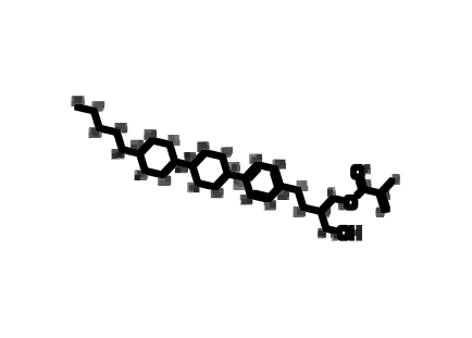 C=C(C)C(=O)OCC(CO)CCc1ccc(C2CCC(C3CCC(CCCCC)CC3)CC2)cc1